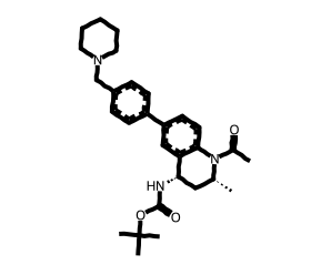 CC(=O)N1c2ccc(-c3ccc(CN4CCCCC4)cc3)cc2[C@@H](NC(=O)OC(C)(C)C)C[C@H]1C